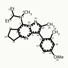 CCC(CC)N(C)c1c2c(nc3c(-c4ccc(OC)cc4C)c(C)nn13)CCC2